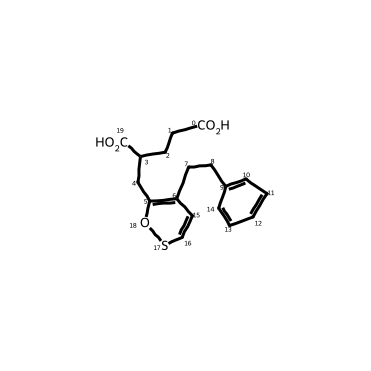 O=C(O)CCC(CC1=C(CCc2ccccc2)C=CSO1)C(=O)O